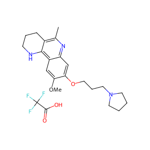 COc1cc2c3c(c(C)nc2cc1OCCCN1CCCC1)CCCN3.O=C(O)C(F)(F)F